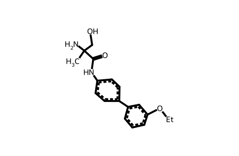 CCOc1cccc(-c2ccc(NC(=O)C(C)(N)CO)cc2)c1